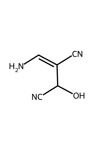 N#CC(=CN)C(O)C#N